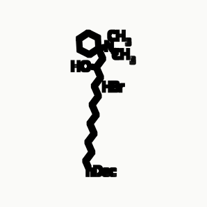 Br.CCCCCCCCCCCCCCCCCCCCC(O)CC1(N(C)C)CCCCC1